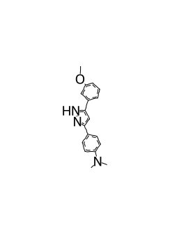 COc1cccc(-c2cc(-c3ccc(N(C)C)cc3)n[nH]2)c1